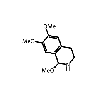 COc1cc2c(cc1OC)[C@H](OC)NCC2